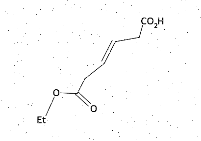 CCOC(=O)CC=CCC(=O)O